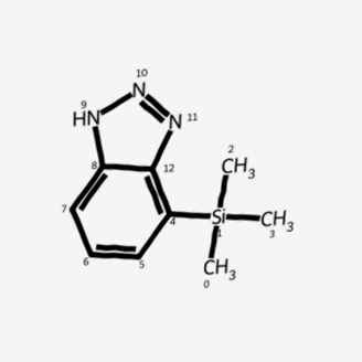 C[Si](C)(C)c1cccc2[nH]nnc12